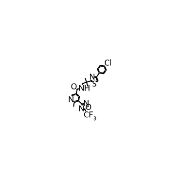 Cc1ncc(C(=O)NCC(C)(C)c2nc(-c3ccc(Cl)cc3)cs2)cc1-c1noc(C(F)(F)F)n1